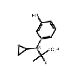 CC(F)(C(=O)O)[C@H](c1cccc(O)c1)C1CC1